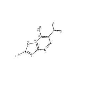 CC(C)c1cnc2cc(I)oc2c1Cl